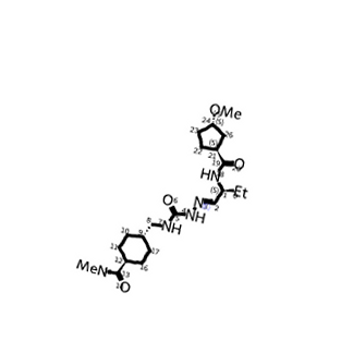 CC[C@@H](/C=N/NC(=O)NC[C@H]1CC[C@H](C(=O)NC)CC1)NC(=O)[C@H]1CC[C@H](OC)C1